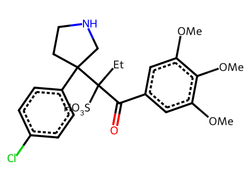 CCC(C(=O)c1cc(OC)c(OC)c(OC)c1)(C1(c2ccc(Cl)cc2)CCNC1)S(=O)(=O)O